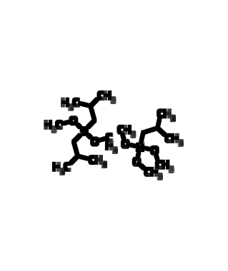 CO[Si](CC(C)C)(CC(C)C)OC.CO[Si](CC(C)C)(OC)OC